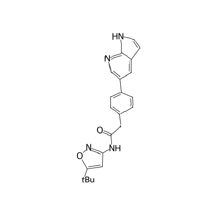 CC(C)(C)c1cc(NC(=O)Cc2ccc(-c3cnc4[nH]ccc4c3)cc2)no1